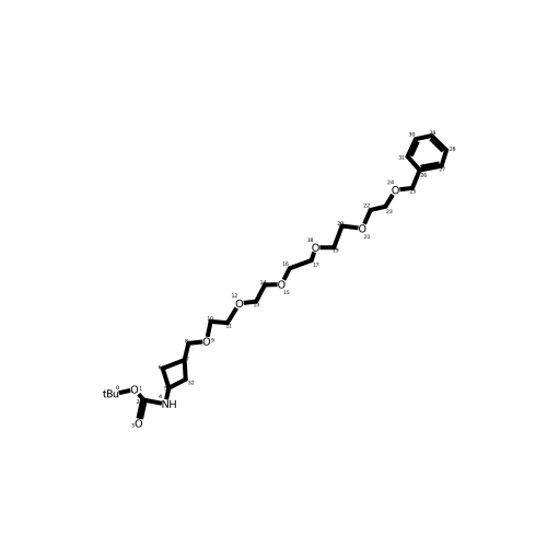 CC(C)(C)OC(=O)NC1CC(COCCOCCOCCOCCOCCOCc2ccccc2)C1